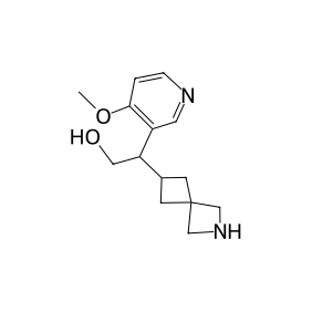 COc1ccncc1C(CO)C1CC2(CNC2)C1